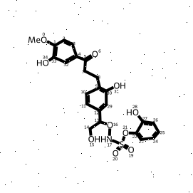 COc1ccc(C(=O)CCc2ccc(C(CO)ONS(=O)(=O)Oc3ccccc3O)cc2O)cc1O